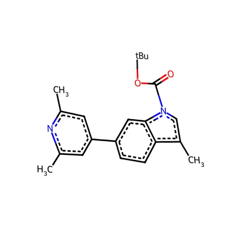 Cc1cc(-c2ccc3c(C)cn(C(=O)OC(C)(C)C)c3c2)cc(C)n1